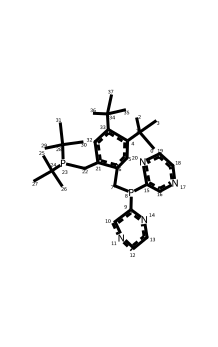 CC(C)(C)c1cc(CP(c2cnccn2)c2cnccn2)c(CP(C(C)(C)C)C(C)(C)C)cc1C(C)(C)C